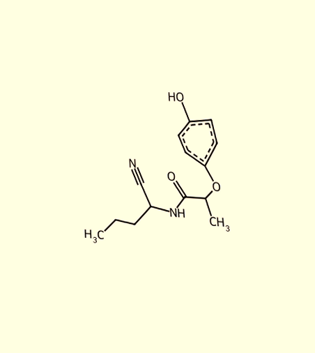 CCCC(C#N)NC(=O)C(C)Oc1ccc(O)cc1